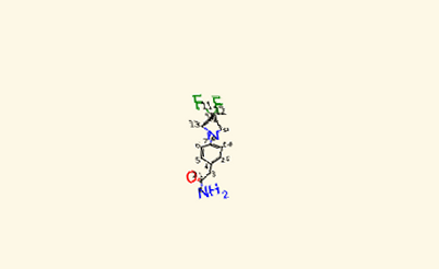 NC(=O)Cc1ccc(N2CC(F)(F)C2)cc1